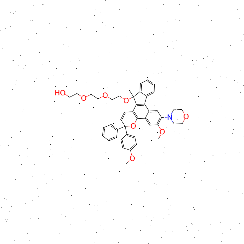 COc1ccc(C2(c3ccccc3)C=Cc3c4c(c5cc(N6CCOCC6)c(OC)cc5c3O2)-c2ccccc2C4(C)OCCOCCOCCO)cc1